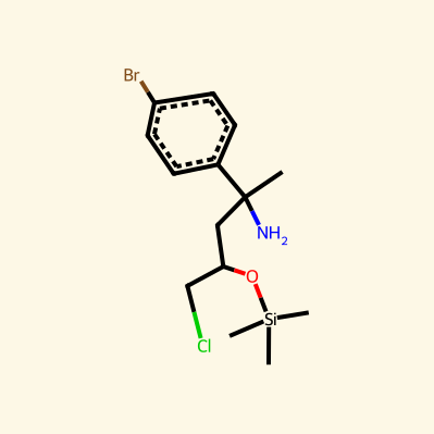 CC(N)(CC(CCl)O[Si](C)(C)C)c1ccc(Br)cc1